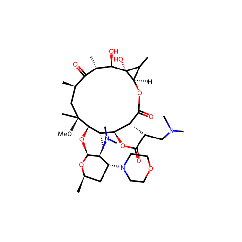 CO[C@@]1(C)C[C@@H](C)C(=O)[C@H](C)[C@@H](O)[C@@]2(O)C(C)[C@H]2OC(=O)[C@H](C)[C@@H](OC(=O)CCN(C)C)[C@H](C)[C@H]1O[C@@H]1O[C@H](C)C[C@@H](N2CCOCC2)[C@@H]1N(C)C